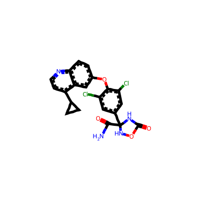 NC(=O)C1(c2cc(Cl)c(Oc3ccc4nccc(C5CC5)c4c3)c(Cl)c2)NOC(=O)N1